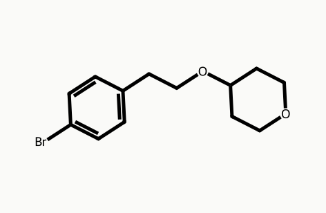 Brc1ccc(CCOC2CCOCC2)cc1